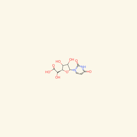 O=C(O)C(O)[C@@H]1O[C@H](n2ccc(=O)[nH]c2=O)C(O)C1O